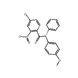 COc1ccc(N(C(=O)c2ccc(Cl)cc2[N+](=O)[O-])c2ccccc2)cc1